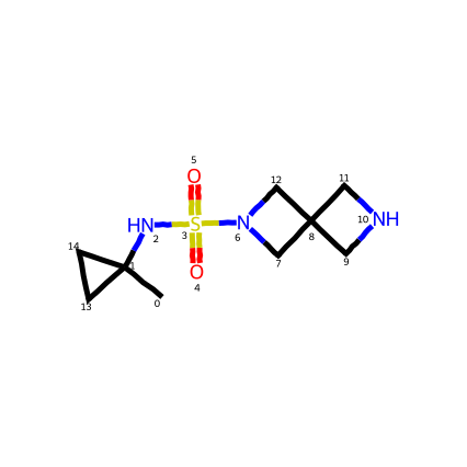 CC1(NS(=O)(=O)N2CC3(CNC3)C2)CC1